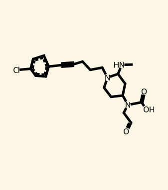 CNC1CC(N(CC=O)C(=O)O)CCN1CCCC#Cc1ccc(Cl)cc1